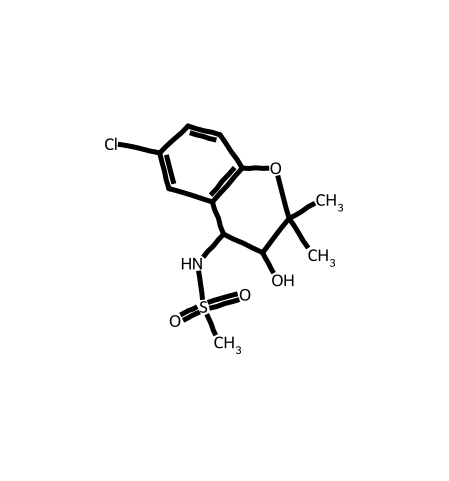 CC1(C)Oc2ccc(Cl)cc2C(NS(C)(=O)=O)C1O